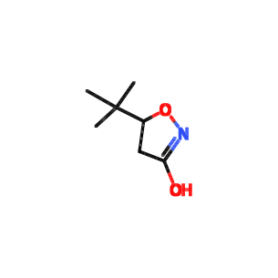 CC(C)(C)C1CC(O)=NO1